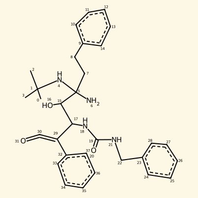 CC(C)(C)NC(N)(CCc1ccccc1)C(O)C(NC(=O)NCc1ccccc1)C(=C=O)c1ccccc1